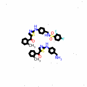 Cc1ccccc1C(=O)c1cnc(Nc2ccc(CN)cc2)s1.Cc1ccccc1C(=O)c1cnc(Nc2ccc(CNS(=O)(=O)c3ccc(F)cc3F)cc2)s1